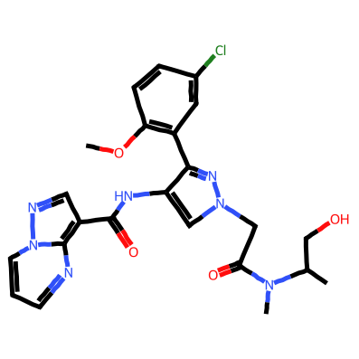 COc1ccc(Cl)cc1-c1nn(CC(=O)N(C)C(C)CO)cc1NC(=O)c1cnn2cccnc12